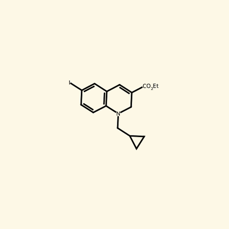 CCOC(=O)C1=Cc2cc(I)ccc2N(CC2CC2)C1